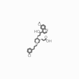 COc1ccc2nccc([C@H](O)CC[C@@H]3CCN(CCCc4cccc(Cl)c4)C[C@H]3CCC(=O)O)c2c1